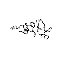 CCOC(=O)c1c(N(C)C(=O)NCc2c(-n3cccc3)sc3c2CCN(CC)C3)sc2c1CCCC2